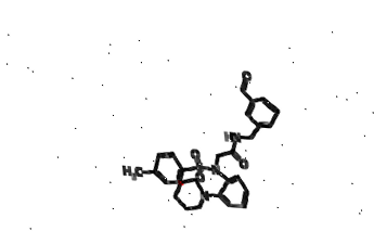 Cc1ccc(S(=O)(=O)N(CC(=O)NCc2cccc(C=O)c2)c2ccccc2N2CCCCC2)cc1